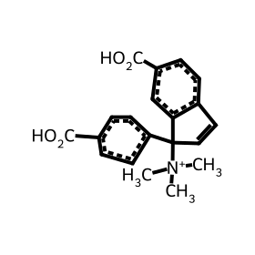 C[N+](C)(C)C1(c2ccc(C(=O)O)cc2)C=Cc2ccc(C(=O)O)cc21